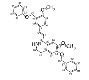 COc1ccc(C=CC2NCCc3cc(OCc4ccccc4)c(OC)cc32)cc1COc1ccccc1